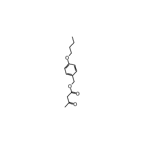 CCCCOc1ccc(COC(=O)CC(C)=O)cc1